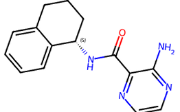 Nc1nccnc1C(=O)N[C@H]1CCCc2ccccc21